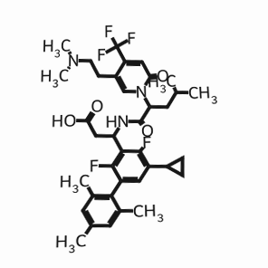 Cc1cc(C)c(-c2cc(C3CC3)c(F)c(C(CC(=O)O)NC(=O)C(CC(C)C)n3cc(CCN(C)C)c(C(F)(F)F)cc3=O)c2F)c(C)c1